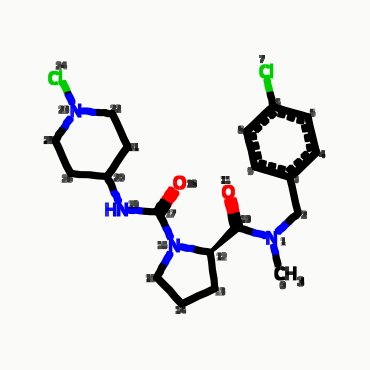 CN(Cc1ccc(Cl)cc1)C(=O)[C@H]1CCCN1C(=O)NC1CCN(Cl)CC1